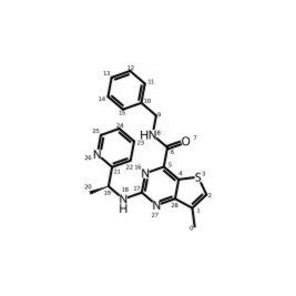 Cc1csc2c(C(=O)NCc3ccccc3)nc(N[C@@H](C)c3ccccn3)nc12